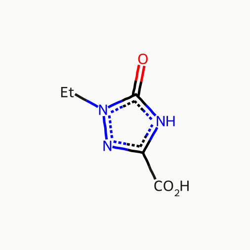 CCn1nc(C(=O)O)[nH]c1=O